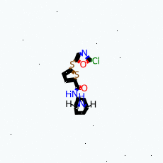 O=C(N[C@@H]1C[C@H]2CC[C@@H]1N2)c1ccc(Sc2cnc(Cl)o2)s1